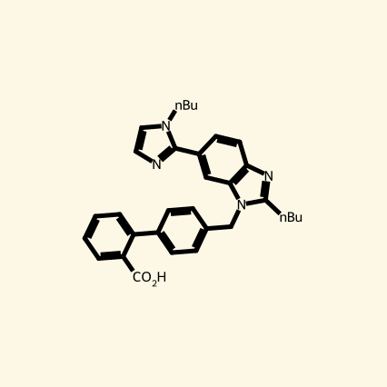 CCCCc1nc2ccc(-c3nccn3CCCC)cc2n1Cc1ccc(-c2ccccc2C(=O)O)cc1